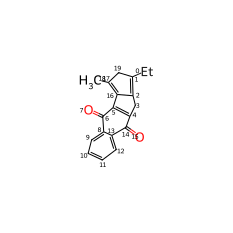 CCC1=C2CC3=C(C(=O)c4ccccc4C3=O)C2=C(C)C1